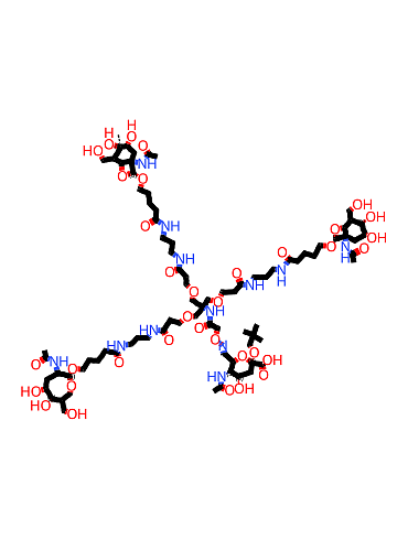 CC(=O)NC1CC(O)[C@H](O)C(CO)CO[C@@H]1OCCCCC(=O)NCCCNC(=O)CCOCC(COCCC(=O)NCCCNC(=O)CCCCO[C@H]1OC2C(CO)[C@@H](O)C(O)CC21NC(C)=O)(COCCC(=O)NCCCNC(=O)CCCCO[C@H]1OC2C(CO)[C@@](C)(O)C(O)CC21NC(C)=O)NC(=O)CON=CC1O[C@@](OCC(C)(C)C)(C(=O)O)C[C@H](O)[C@@H]1NC(C)=O